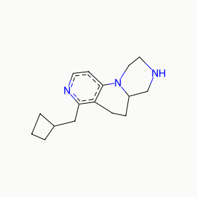 c1cc2c(c(CC3CCC3)n1)CCC1CNCCN21